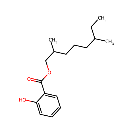 CCC(C)CCCC(C)COC(=O)c1ccccc1O